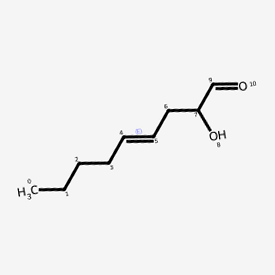 CCCC/C=C/CC(O)C=O